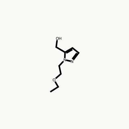 CCOCCn1nccc1CO